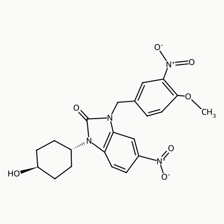 COc1ccc(Cn2c(=O)n([C@H]3CC[C@H](O)CC3)c3ccc([N+](=O)[O-])cc32)cc1[N+](=O)[O-]